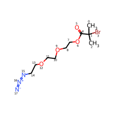 CC(C)(Br)C(=O)OCCOCCOCCN=[N+]=[N-]